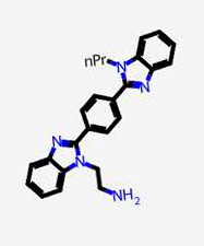 CCCn1c(-c2ccc(-c3nc4ccccc4n3CCN)cc2)nc2ccccc21